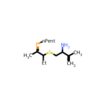 C=C(C)C(N)CSC(CC)/C(C)=P\CCCCC